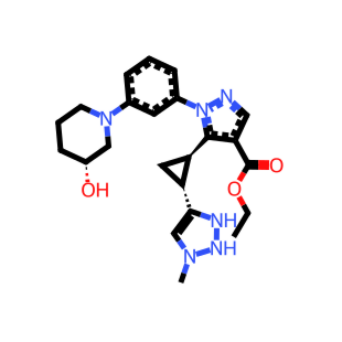 CCOC(=O)c1cnn(-c2cccc(N3CCC[C@@H](O)C3)c2)c1[C@@H]1C[C@H]1C1=CN(C)NN1